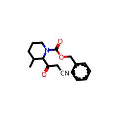 CC1CCCN(C(=O)OCc2ccccc2)C1C(=O)CC#N